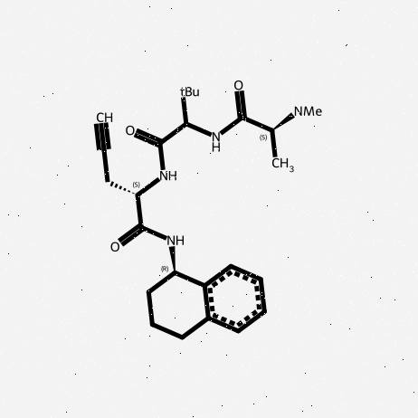 C#CC[C@H](NC(=O)C(NC(=O)[C@H](C)NC)C(C)(C)C)C(=O)N[C@@H]1CCCc2ccccc21